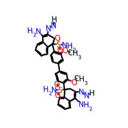 [H]/N=N/C1=C(N)c2ccccc2C(c2ccc(-c3ccc(C4(S(N)(=O)=O)CC(/N=N/[H])=C(N)c5ccccc54)c(OC)c3)cc2OC)(S(N)(=O)=O)C1